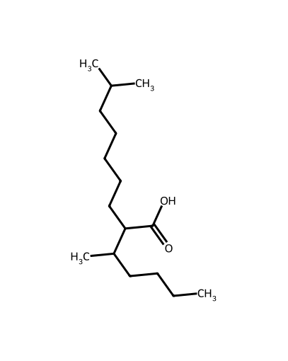 CCCCC(C)C(CCCCCC(C)C)C(=O)O